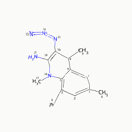 Cc1cc(C(C)C)c2c(c1)C(C)C(N=[N+]=[N-])=C(N)N2C